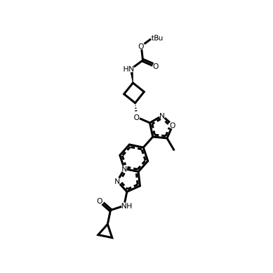 Cc1onc(O[C@H]2C[C@H](NC(=O)OC(C)(C)C)C2)c1-c1ccn2nc(NC(=O)C3CC3)cc2c1